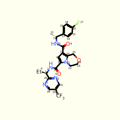 CC[C@@H](NC(=O)c1cc(C(=O)N[C@H](C)c2ccc(F)cc2)c2n1CCOC2)c1ncc(C(F)(F)F)cn1